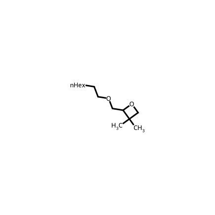 CCCCCCCCOCC1OCC1(C)C